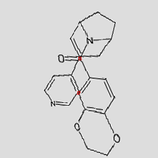 O=C(c1ccc2c(c1)OCCO2)N1C2C=C(c3ccncc3)CC1CC2